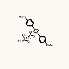 COc1ccc(P2SP(c3ccc(OC)cc3)S2)cc1.O=S(O)O.O=S(O)O